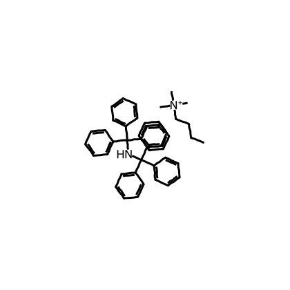 CCCC[N+](C)(C)C.c1ccc(C(NC(c2ccccc2)(c2ccccc2)c2ccccc2)(c2ccccc2)c2ccccc2)cc1